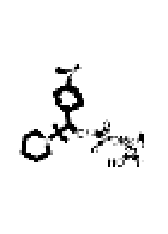 COS(=O)(=O)O.COS(=O)(=O)[O-].C[S+](C)c1ccc(C(=O)C(C)(C)N2CCCCC2)cc1